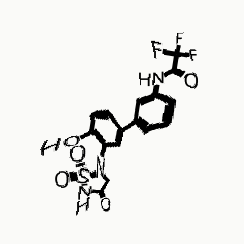 O=C1CN(c2cc(-c3cccc(NC(=O)C(F)(F)F)c3)ccc2O)S(=O)(=O)N1